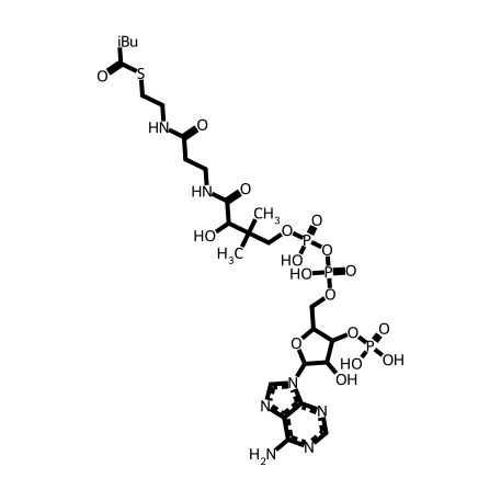 CCC(C)C(=O)SCCNC(=O)CCNC(=O)C(O)C(C)(C)COP(=O)(O)OP(=O)(O)OCC1OC(n2cnc3c(N)ncnc32)C(O)C1OP(=O)(O)O